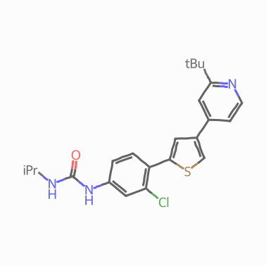 CC(C)NC(=O)Nc1ccc(-c2cc(-c3ccnc(C(C)(C)C)c3)cs2)c(Cl)c1